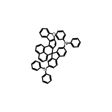 c1ccc(N(c2ccccc2)c2ccc3c(c2)C2(c4cc(N(c5ccccc5)c5ccccc5)ccc4-3)c3ccc4oc5ccccc5c4c3-c3cccc4cccc2c34)cc1